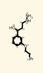 CC(C)CCOc1cccc(C(O)CCNN)c1